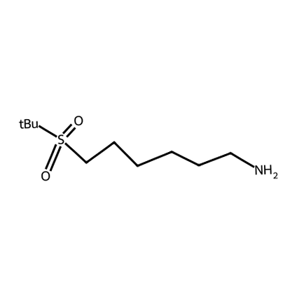 CC(C)(C)S(=O)(=O)CCCCCCN